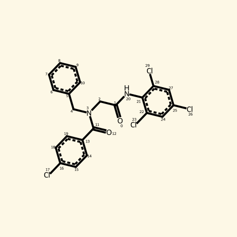 O=C(CN(Cc1ccccc1)C(=O)c1ccc(Cl)cc1)Nc1c(Cl)cc(Cl)cc1Cl